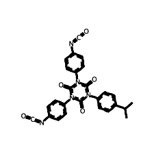 CC(C)c1ccc(-n2c(=O)n(-c3ccc(N=C=O)cc3)c(=O)n(-c3ccc(N=C=O)cc3)c2=O)cc1